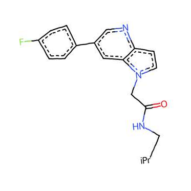 CC(C)CNC(=O)Cn1ccc2ncc(-c3ccc(F)cc3)cc21